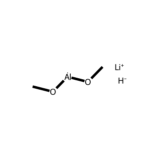 C[O][Al][O]C.[H-].[Li+]